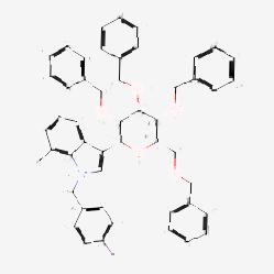 Cc1cccc2c([C@@H]3O[C@H](COCc4ccccc4)[C@@H](OCc4ccccc4)[C@H](OCc4ccccc4)[C@H]3OCc3ccccc3)cn(Cc3ccc(I)cc3)c12